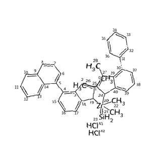 CC1=Cc2c(-c3cccc4ccccc34)cccc2[CH]1[Zr]([CH3])([CH3])(=[SiH2])[CH]1C(C)=C(C)c2c(-c3ccccc3)cccc21.Cl.Cl